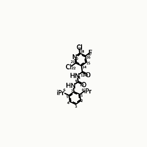 CC(C)c1cccc(C(C)C)c1NC(=O)NC(=O)c1cc(F)c(Cl)nc1Cl